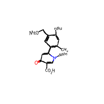 CCCCc1cc(C)c(-c2cc(=O)c(C(=O)O)cn2NC)cc1COC